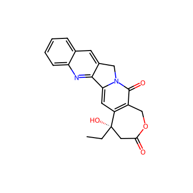 CC[C@]1(O)CC(=O)OCc2c1cc1n(c2=O)Cc2cc3ccccc3nc2-1